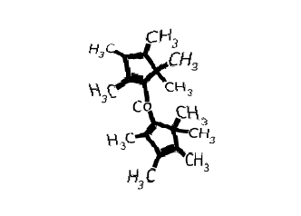 CC1=C(C)C(C)(C)[C]([Co][C]2=C(C)C(C)=C(C)C2(C)C)=C1C